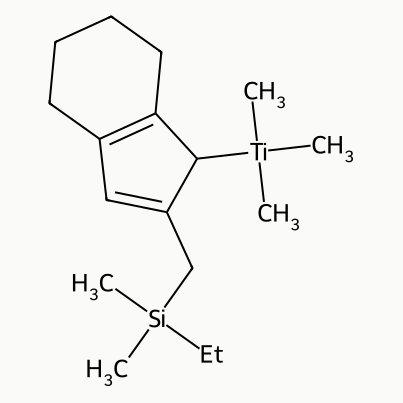 CC[Si](C)(C)CC1=CC2=C(CCCC2)[CH]1[Ti]([CH3])([CH3])[CH3]